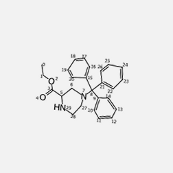 CCOC(=O)C1CN(C(c2ccccc2)(c2ccccc2)c2ccccc2)CCN1